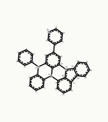 c1ccc(N2c3ccccc3B3c4c2cc(-c2cccnc2)cc4-n2c4ccccc4c4cccc3c42)cc1